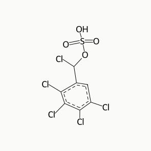 O=S(=O)(O)OC(Cl)c1cc(Cl)c(Cl)c(Cl)c1Cl